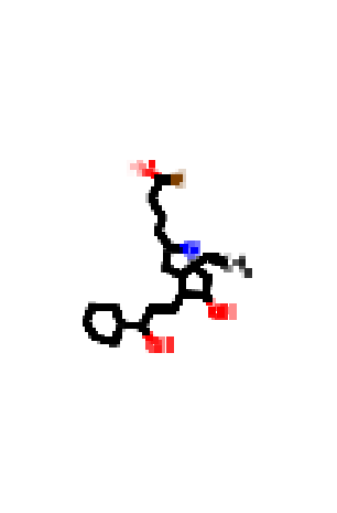 C=CC12CC(O)C(C=CC(O)C3CCCCC3)C1CC(CCCC(O)=S)=N2